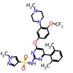 Cc1cccc(C)c1-c1cc(Oc2ccc(OC(F)(F)F)c(N3CCN(C)CC3)c2)nc(NS(=O)(=O)c2cnn(C)c2)n1